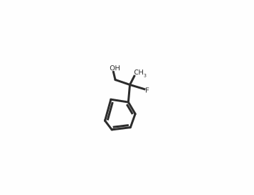 CC(F)(CO)c1ccccc1